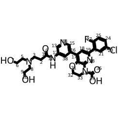 O=C(CCN(CCO)CCO)Nc1cncc(-c2cc(-c3cc(Cl)ccc3F)nc3c2OCCN3C(=O)O)c1